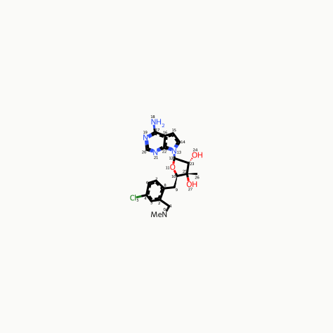 CNCc1cc(Cl)ccc1C[C@H]1OC(n2ccc3c(N)ncnc32)[C@H](O)[C@]1(C)O